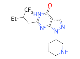 CCC(Cc1nc2c(cnn2C2CCCNC2)c(=O)[nH]1)C(F)(F)F